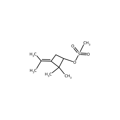 CC(C)=C1CC(OS(C)(=O)=O)C1(C)C